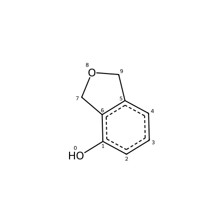 Oc1cccc2c1COC2